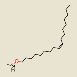 CCCCCCCC/C=C\CCCCCCCCO[SiH](C)C